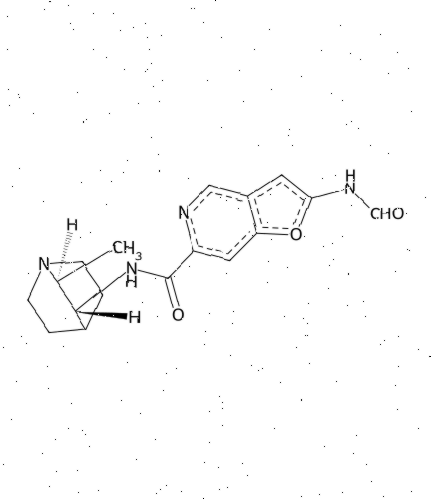 C[C@H]1[C@H](NC(=O)c2cc3oc(NC=O)cc3cn2)C2CCN1CC2